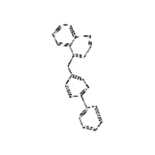 [CH](c1ccc(-c2ccccc2)cc1)c1cccc2ccccc12